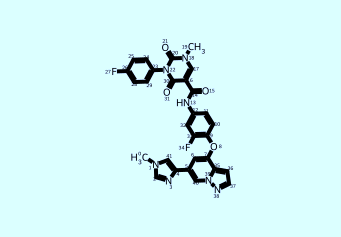 Cn1cnc(-c2cc(Oc3ccc(NC(=O)c4cn(C)c(=O)n(-c5ccc(F)cc5)c4=O)cc3F)c3ccnn3c2)c1